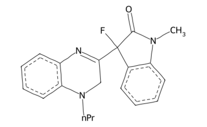 CCCN1CC(C2(F)C(=O)N(C)c3ccccc32)=Nc2ccccc21